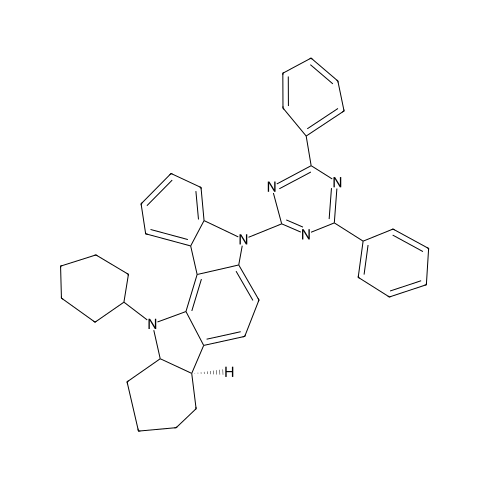 c1ccc(-c2nc(-c3ccccc3)nc(-n3c4ccccc4c4c5c(ccc43)[C@H]3CCCCC3N5C3CCCCC3)n2)cc1